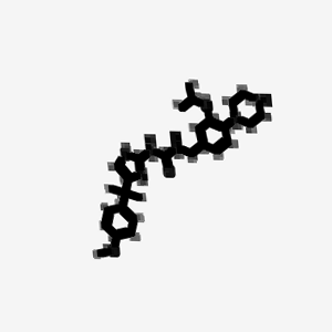 COc1ccc(C(C)(C)c2csc(NC(=O)NCc3ccc(N4CCNCC4)c(OC(C)C)c3)n2)cc1